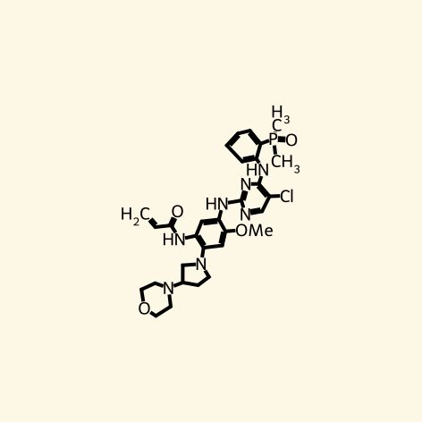 C=CC(=O)Nc1cc(Nc2ncc(Cl)c(Nc3ccccc3P(C)(C)=O)n2)c(OC)cc1N1CCC(N2CCOCC2)C1